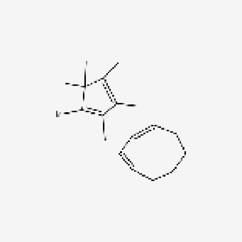 C1=C\CCCC\C=C/1.CC1=C(C)C(C)(C)[C]([Ir])=C1C